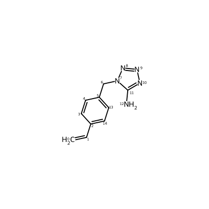 C=Cc1ccc(Cn2nnnc2N)cc1